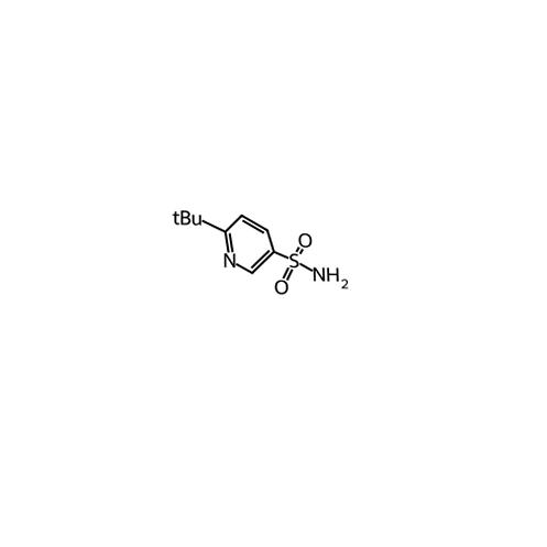 CC(C)(C)c1ccc(S(N)(=O)=O)cn1